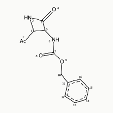 CC(=O)C1NC(=O)C1NC(=O)OCc1ccccc1